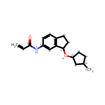 C=CC(=O)Nc1ccc2c(c1)C(OC1CCC(C(F)(F)F)C1)CC2